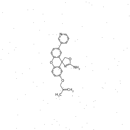 C=C(C)COc1ccc2c(c1)C1(COC(N)=N1)c1cc(-c3cccnc3)ccc1O2